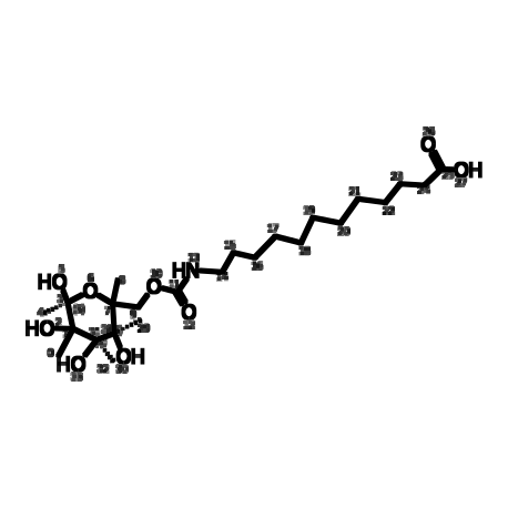 CC1(O)[C@@](C)(O)OC(C)(COC(=O)NCCCCCCCCCCCC(=O)O)[C@@](C)(O)[C@@]1(C)O